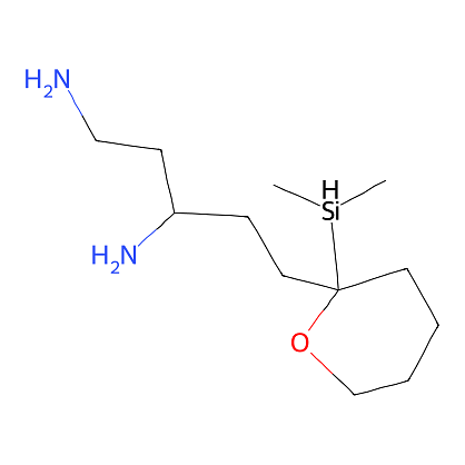 C[SiH](C)C1(CCC(N)CCN)CCCCO1